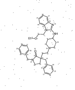 CCOCCn1c(NC2CCN(CCC3(Cc4ccccc4)CCN(Cc4ccccc4)C3=O)CC2)nc2ccccc21